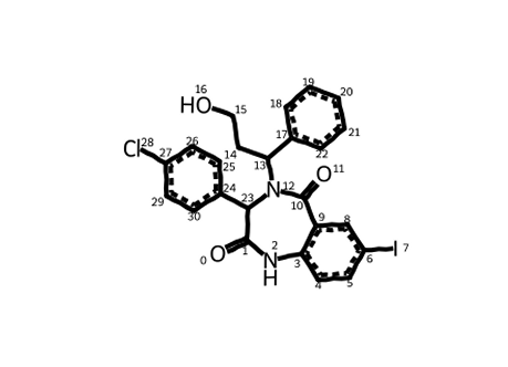 O=C1Nc2ccc(I)cc2C(=O)N(C(CCO)c2ccccc2)C1c1ccc(Cl)cc1